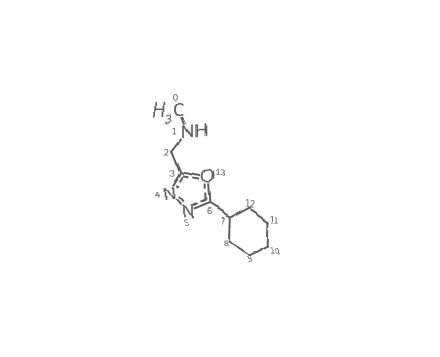 CNCc1nnc(C2CCCCC2)o1